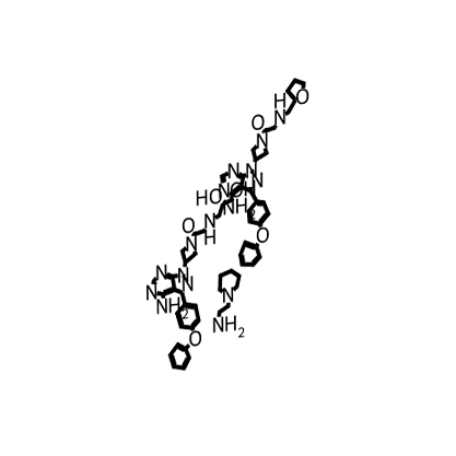 NCCN1CCCCC1.Nc1ncnc2c1c(-c1ccc(Oc3ccccc3)cc1)nn2C1CN(C(=O)CNCC(O)CO)C1.Nc1ncnc2c1c(-c1ccc(Oc3ccccc3)cc1)nn2C1CN(C(=O)CNCC2CCCO2)C1